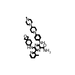 Cc1cccnc1-c1nc(C(N)=O)c(Nc2ccc(N3CCC(N4CCN(C)CC4)CC3)cc2)nc1NC1CCC2(CC1)COC2